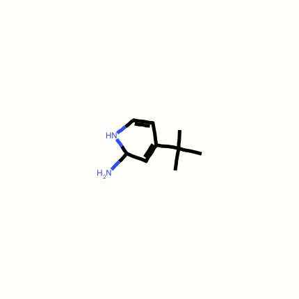 CC(C)(C)C1=CC(N)NC=C1